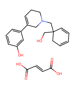 O=C(O)/C=C/C(=O)O.OCC1(CN2CCC=C(c3cccc(O)c3)C2)C=CC=CC1